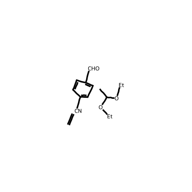 C=C.CCOC(C)OCC.N#Cc1ccc(C=O)cc1